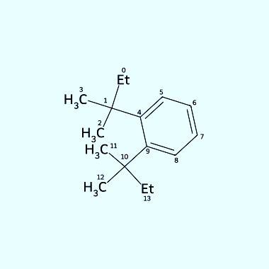 CCC(C)(C)c1ccccc1C(C)(C)CC